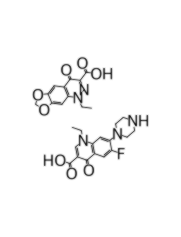 CCn1cc(C(=O)O)c(=O)c2cc(F)c(N3CCNCC3)cc21.CCn1nc(C(=O)O)c(=O)c2cc3c(cc21)OCO3